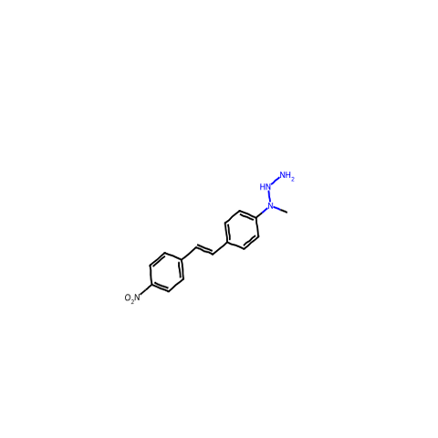 CN(NN)c1ccc(C=Cc2ccc([N+](=O)[O-])cc2)cc1